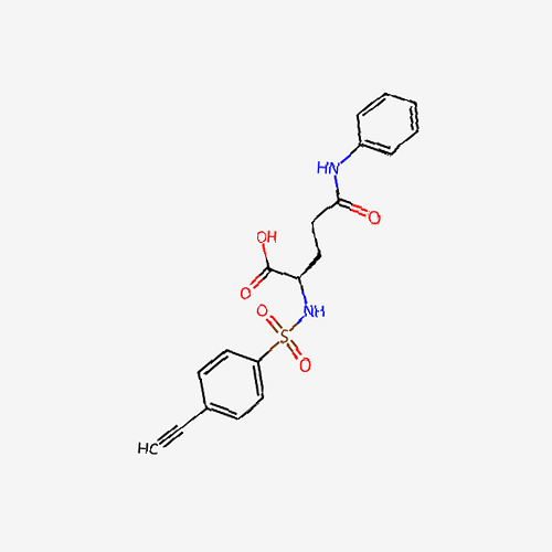 C#Cc1ccc(S(=O)(=O)N[C@H](CCC(=O)Nc2ccccc2)C(=O)O)cc1